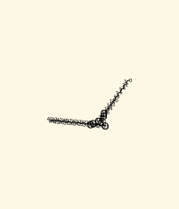 CCCCCCCCCCCCCCCCCOOCc1cc(=O)cc(COOCCCCCCCCCCCCCCCCC)o1